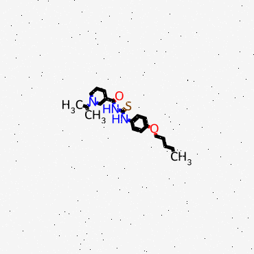 CCCCCOc1ccc(NC(=S)NC(=O)C2CCCN(C(C)C)C2)cc1